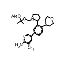 COC(C)(C)OCN1CCCC1c1cc(-c2cnc(N)c(C(F)(F)F)c2)ccc1C1CCOCC1